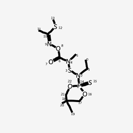 CCN(SN(C)C(=O)ON=C(C)SC)P1(=S)OCC(C)(C)CO1